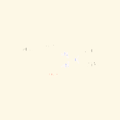 CCCCc1c(C)nc(N(CC)CC)nc1O